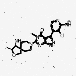 CC(C)Nc1nccc(-c2n[nH]c3nc(N4CCC5(CC4)CO[C@@H](C)[C@H]5N)n(C)c(=O)c23)c1Cl